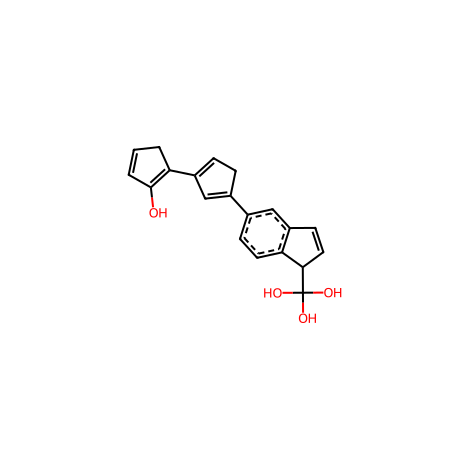 OC1=C(C2=CCC(c3ccc4c(c3)C=CC4C(O)(O)O)=C2)CC=C1